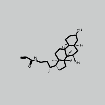 C=CC(=O)NCC[C@@H](C)[C@H]1CC[C@H]2[C@@H]3[C@H](O)C[C@@H]4C[C@H](O)CC[C@]4(C)[C@H]3CC[C@]12C